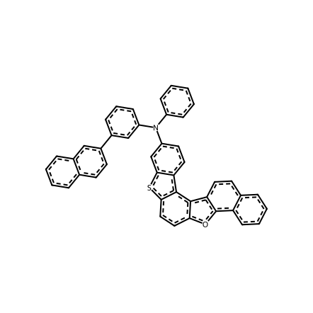 c1ccc(N(c2cccc(-c3ccc4ccccc4c3)c2)c2ccc3c(c2)sc2ccc4oc5c6ccccc6ccc5c4c23)cc1